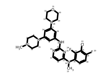 CN1CCN(c2cc(Nc3nccc(N(C)c4ccc(F)c(Cl)c4F)n3)cc(N3CCOCC3)c2)CC1